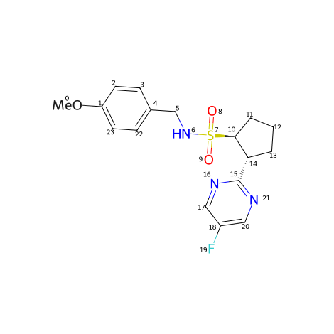 COc1ccc(CNS(=O)(=O)[C@H]2CCC[C@@H]2c2ncc(F)cn2)cc1